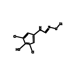 CCON=CNc1cc(Cl)c(O)c(Cl)c1